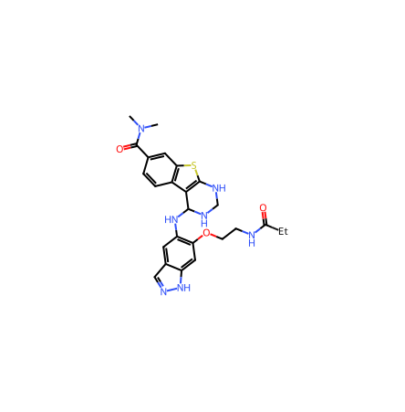 CCC(=O)NCCOc1cc2[nH]ncc2cc1NC1NCNc2sc3cc(C(=O)N(C)C)ccc3c21